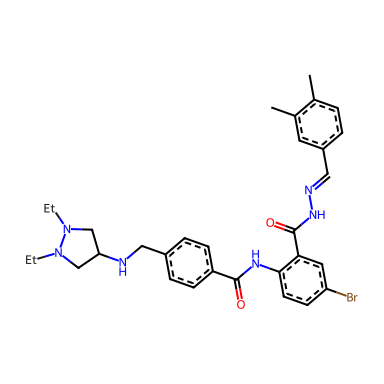 CCN1CC(NCc2ccc(C(=O)Nc3ccc(Br)cc3C(=O)NN=Cc3ccc(C)c(C)c3)cc2)CN1CC